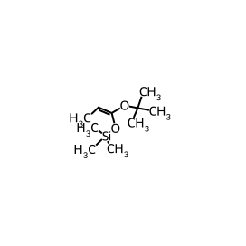 C/C=C(/OC(C)(C)C)O[Si](C)(C)C